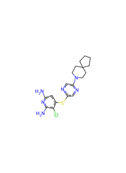 Nc1cc(Sc2cnc(N3CCC4(CCCC4)CC3)cn2)c(Cl)c(N)n1